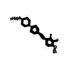 CCCCCCC[C@H]1CC[C@H](c2ccc(C#Cc3ccc(OCC)c(F)c3F)cc2)CC1